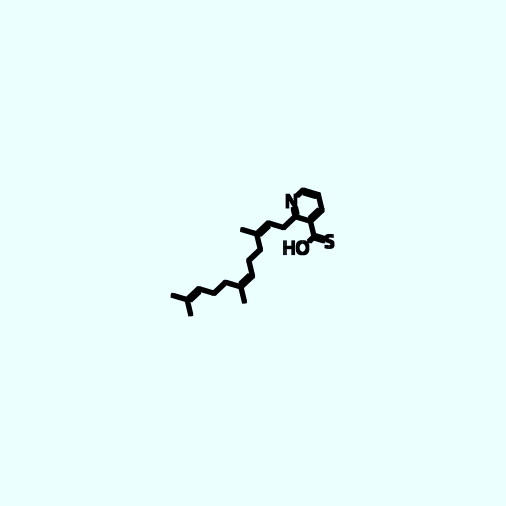 CC(C)=CCCC(C)=CCCC(C)=CCc1ncccc1C(O)=S